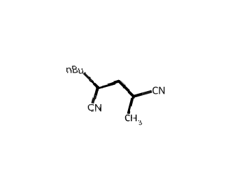 CCCCC(C#N)CC(C)C#N